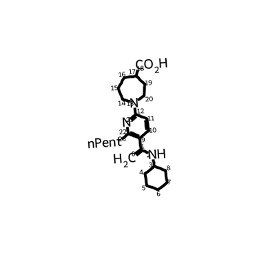 C=C(NC1CCCCC1)c1ccc(N2CCCC(C(=O)O)CC2)nc1CCCCC